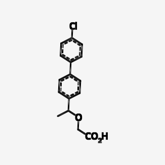 CC(OCC(=O)O)c1ccc(-c2ccc(Cl)cc2)cc1